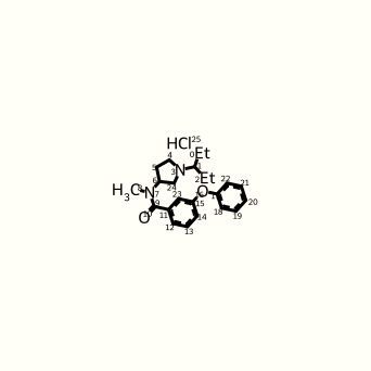 CCC(CC)N1CCC(N(C)C(=O)c2cccc(Oc3ccccc3)c2)C1.Cl